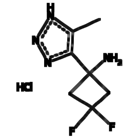 Cc1[nH]nnc1C1(N)CC(F)(F)C1.Cl